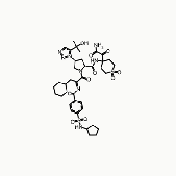 CC(C)(O)c1cnnn1[C@H]1C[C@@H](C(=O)NC2(C(=O)C(N)=O)CCS(=O)(=O)CC2)N(C(=O)/C(CC2CCCCC2)=N/C(=O)c2ccc(S(=O)(=O)NC3CCCC3)cc2)C1